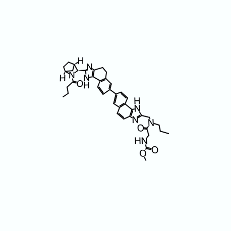 CCCC(=O)N1[C@@H]2CC[C@@H](C2)[C@H]1c1nc2c([nH]1)-c1ccc(-c3ccc4c(ccc5nc(CN(CCC)C(=O)CNC(=O)OC)[nH]c54)c3)cc1CC2